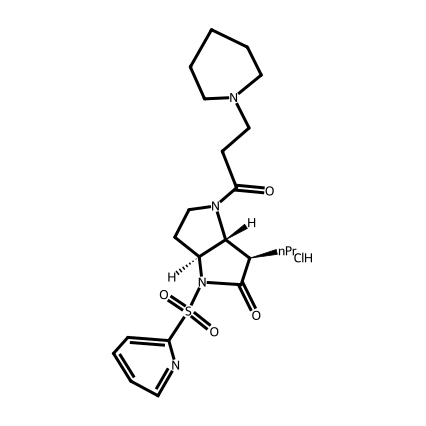 CCC[C@H]1C(=O)N(S(=O)(=O)c2ccccn2)[C@H]2CCN(C(=O)CCN3CCCCC3)[C@H]12.Cl